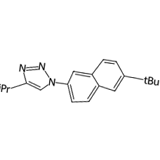 CC(C)c1cn(-c2ccc3cc(C(C)(C)C)ccc3c2)nn1